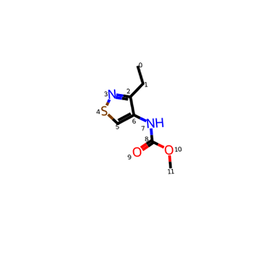 CCc1nscc1NC(=O)OC